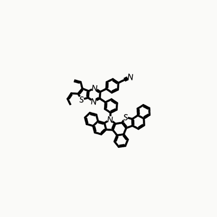 C=Cc1c(/C=C\C)sc2nc(-c3cccc(-n4c5c6ccccc6ccc5c5c6ccccc6c6c7ccc8ccccc8c7sc6c54)c3)c(-c3ccc(C#N)cc3)nc12